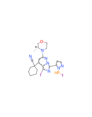 C[C@@H]1COCCN1c1cc(C2(C#N)CCCCC2)c2c(I)nc(-c3ccnn3PI)n2n1